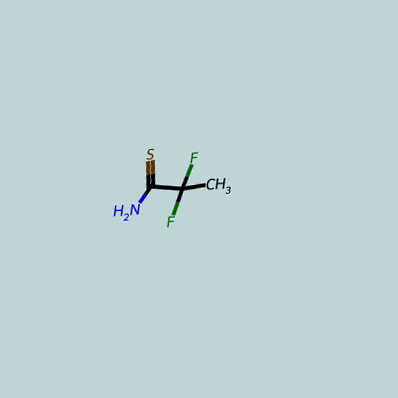 CC(F)(F)C(N)=S